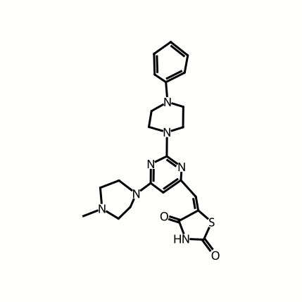 CN1CCN(c2cc(C=C3SC(=O)NC3=O)nc(N3CCN(c4ccccc4)CC3)n2)CC1